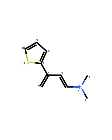 C=C(/C=C/N(C)C)c1cccs1